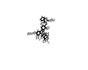 CCCCC1=NC2(CCCC2)C(=O)N1Cc1ccc(-c2cc(OC)ccc2S(=O)(=O)Nc2noc(C)c2C)cc1Cl